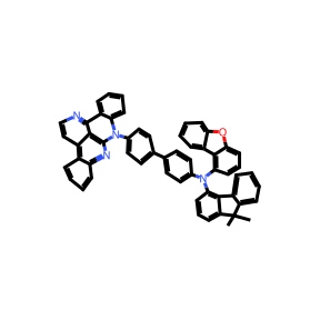 CC1(C)c2ccccc2-c2c(N(c3ccc(-c4ccc(N5c6ccccc6-c6nccc7c6c5nc5ccccc57)cc4)cc3)c3cccc4oc5ccccc5c34)cccc21